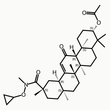 CC(=O)O[C@H]1CC[C@@]2(C)C(CC[C@]3(C)[C@@H]2C(=O)C=C2[C@@H]4C[C@@](C)(C(=O)N(C)OC5CC5)CC[C@]4(C)CC[C@]23C)C1(C)C